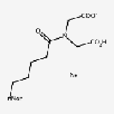 CCCCCCCCCCCCCC(=O)N(CC(=O)[O-])CC(=O)O.[Na+]